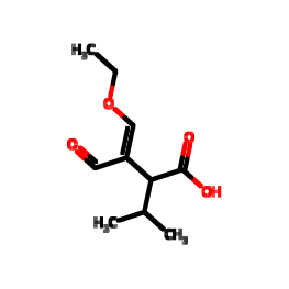 CCO/C=C(\C=O)C(C(=O)O)C(C)C